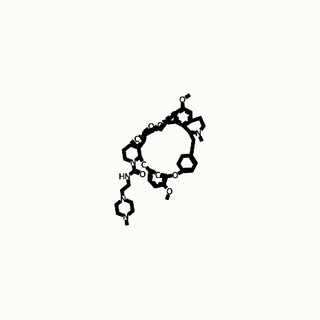 COc1ccc2cc1OC1=CC=C(CC1)CC1c3c(cc(OC)c4oc5cc6c(cc5occc34)C(C2)N(C(=O)NCCN2CCN(C)CC2)CC6)CCN1C